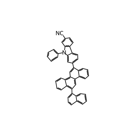 N#Cc1ccc2c3ccc(-c4cc5c6ccccc6c(-c6cccc7ccccc67)cc5c5ccccc45)cc3n(-c3ccccc3)c2c1